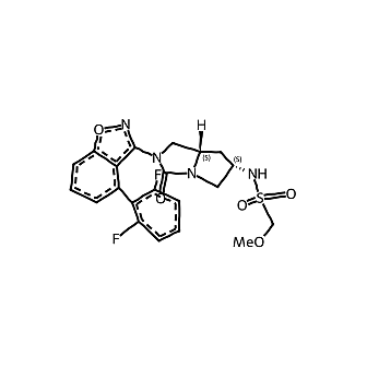 COCS(=O)(=O)N[C@H]1C[C@H]2CN(c3noc4cccc(-c5c(F)cccc5F)c34)C(=O)N2C1